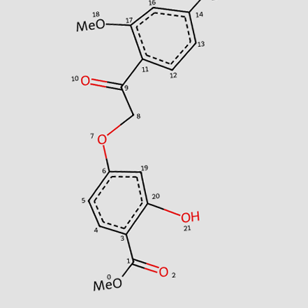 COC(=O)c1ccc(OCC(=O)c2ccc(OC)cc2OC)cc1O